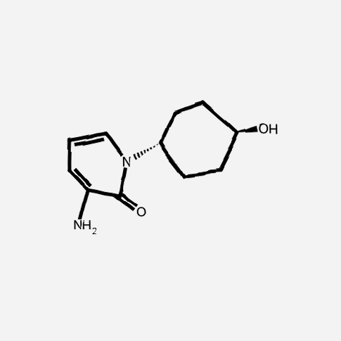 Nc1cccn([C@H]2CC[C@H](O)CC2)c1=O